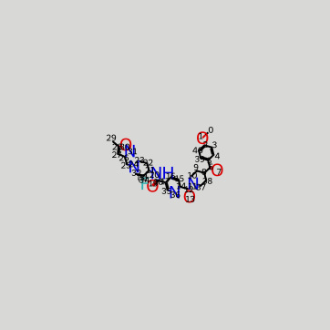 COc1ccc(C(=O)C2CCN(C(=O)c3ccc(C(=O)NC4CCN(Cc5cc(C)on5)C[C@@H]4F)cn3)CC2)cc1